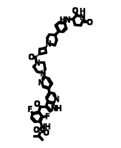 CC(C)S(=O)(=O)Nc1ccc(F)c(C(=O)c2c[nH]c3ncc(-c4ccc(N5CCN(C(=O)[C@H]6C[C@@H](N7CCC(c8ccc(NC9CCC(=O)NC9=O)cc8)CC7)C6)CC5)nc4)cc23)c1F